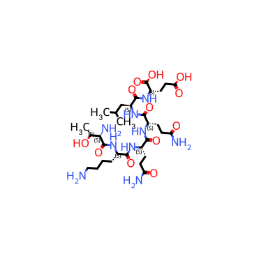 CC(C)C[C@H](NC(=O)[C@H](CCC(N)=O)NC(=O)[C@H](CCC(N)=O)NC(=O)[C@H](CCCCN)NC(=O)[C@@H](N)[C@@H](C)O)C(=O)N[C@@H](CCC(=O)O)C(=O)O